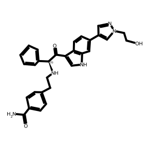 NC(=O)c1ccc(CCN[C@H](C(=O)c2c[nH]c3cc(-c4cnn(CCO)c4)ccc23)c2ccccc2)cc1